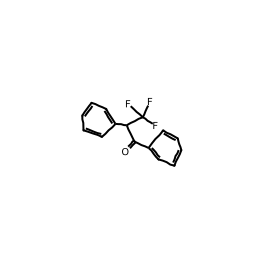 O=C(c1ccccc1)C(c1ccccc1)C(F)(F)F